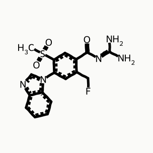 CS(=O)(=O)c1cc(C(=O)N=C(N)N)c(CF)cc1-n1cnc2ccccc21